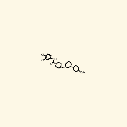 CC(=O)OC1CCC(N2CCC[C@@H](CN3CCN(C(=O)Nc4ccc(Cl)c(Cl)c4)CC3)C2)CC1